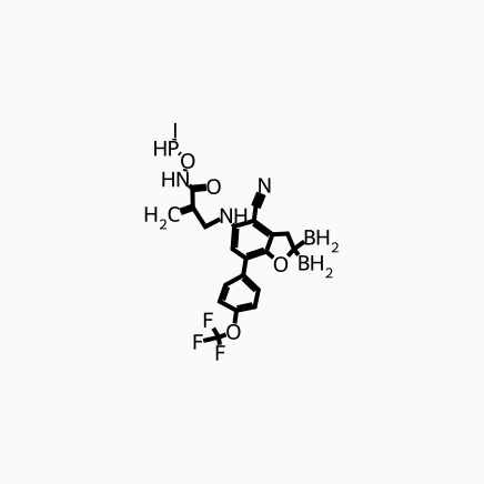 BC1(B)Cc2c(C#N)c(NCC(=C)C(=O)NOPI)cc(-c3ccc(OC(F)(F)F)cc3)c2O1